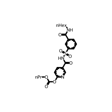 CCCCCCNC(=O)c1cccc(S(=O)(=O)NC(=O)c2ccc(OC(=O)OCCC)nc2)c1